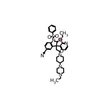 CCOc1ncccc1C1(CC(=O)N2CCC(N3CCN(CC)CC3)CC2)C(=O)N(S(=O)(=O)c2ccccc2)c2ccc(C#N)cc21